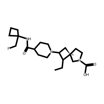 CCC1C(N2CCC(C(=O)NC3(CF)CCC3)CC2)C[C@]12CCN(C(=O)O)C2